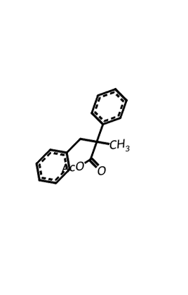 CC(=O)OC(=O)C(C)(Cc1ccccc1)c1ccccc1